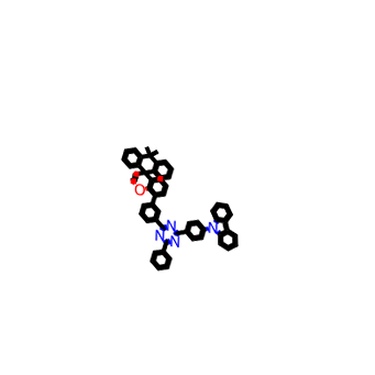 CC1(C)c2ccccc2C2(c3ccccc3Oc3c(-c4cccc(-c5nc(-c6ccccc6)nc(-c6ccc(-n7c8ccccc8c8ccccc87)cc6)n5)c4)cccc32)c2ccccc21